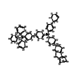 c1ccc(-c2ccc(N(c3ccc(-c4ccc([Si](c5ccccc5)(c5ccccc5)c5ccccc5)cc4)cc3)c3ccc(-c4ccc5c(c4)Cc4ccccc4-5)cc3)cc2)cc1